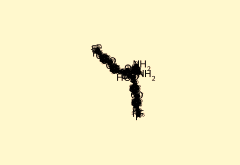 Nc1cc(N)cc(C(C(O)C(=O)/C=C/c2ccc(OC(=O)c3ccc(OCC(F)(F)F)cc3)cc2)C(O)C(=O)/C=C/c2ccc(OC(=O)c3ccc(OCC(F)(F)F)cc3)cc2)c1